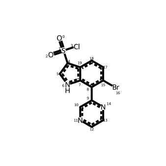 O=S(=O)(Cl)c1c[nH]c2c(-c3cnccn3)c(Br)ccc12